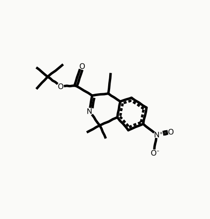 CC1C(C(=O)OC(C)(C)C)=NC(C)(C)c2cc([N+](=O)[O-])ccc21